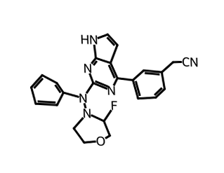 N#CCc1cccc(-c2nc(N(c3ccccc3)N3CCOCC3F)nc3[nH]ccc23)c1